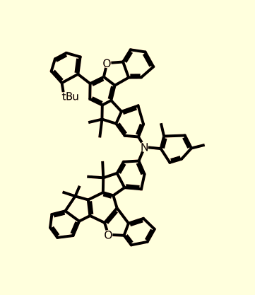 Cc1ccc(N(c2ccc3c(c2)C(C)(C)c2cc(-c4ccccc4C(C)(C)C)c4oc5ccccc5c4c2-3)c2ccc3c(c2)C(C)(C)c2c4c(c5oc6ccccc6c5c2-3)-c2ccccc2C4(C)C)c(C)c1